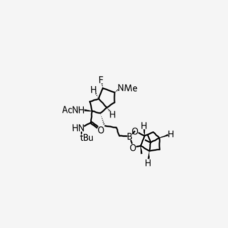 CN[C@@H]1C[C@@H]2[C@@H](C[C@@](NC(C)=O)(C(=O)NC(C)(C)C)[C@H]2CCCB2O[C@@H]3C[C@@H]4C[C@@H](C4(C)C)[C@]3(C)O2)[C@@H]1F